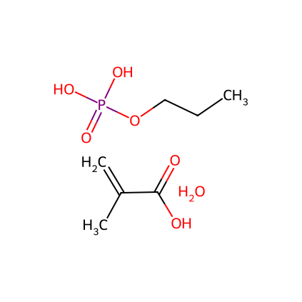 C=C(C)C(=O)O.CCCOP(=O)(O)O.O